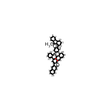 CC1(C)c2ccccc2-c2cccc(-c3ccc(N(c4ccccc4-c4ccc5oc6cc7ccccc7cc6c5c4)c4cccc5ccccc45)cc3)c21